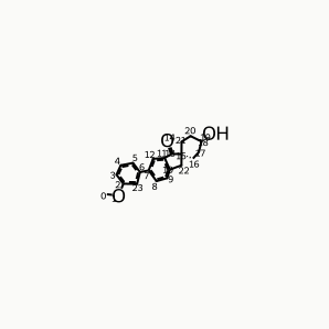 COc1cccc(-c2ccc3c(c2)C(=O)[C@]2(CC[C@H](O)CC2)C3)c1